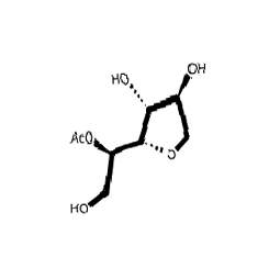 CC(=O)O[C@H](CO)[C@H]1OC[C@H](O)[C@H]1O